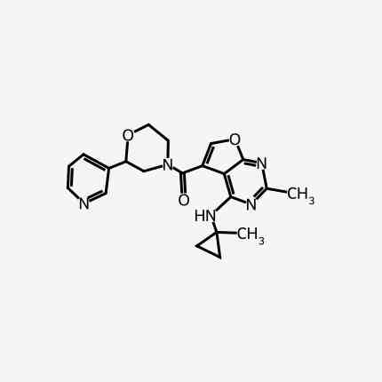 Cc1nc(NC2(C)CC2)c2c(C(=O)N3CCOC(c4cccnc4)C3)coc2n1